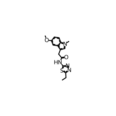 CCc1nnc(NC(=O)Cc2cn(C)c3ccc(OC)cc23)s1